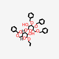 C=CCO[C@H]1O[C@@H]2COC(c3ccccc3)O[C@H]2[C@H](O[C@@H]2O[C@H](COCc3ccccc3)[C@@H](OCc3ccccc3)[C@H](OCc3ccccc3)[C@H]2O)[C@H]1O